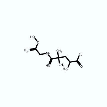 C=C(CNC(=N)C(C)(C)CC(C)C(=O)CC)OO